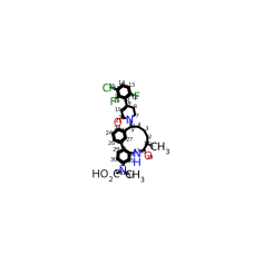 C[C@@H]1CCC[C@H](N2CCC(c3c(F)ccc(Cl)c3F)=CC2=O)c2cccc(c2)-c2ccc(N(C)C(=O)O)cc2NC1=O